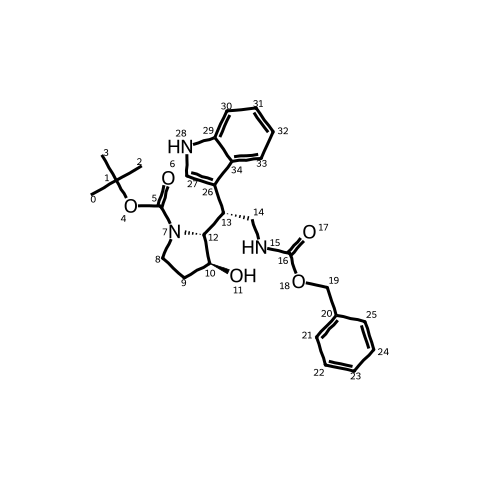 CC(C)(C)OC(=O)N1CC[C@H](O)[C@H]1[C@@H](CNC(=O)OCc1ccccc1)c1c[nH]c2ccccc12